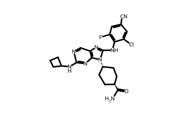 N#Cc1cc(F)c(Nc2nc3cnc(NC4CCC4)nc3n2[C@H]2CC[C@H](C(N)=O)CC2)c(Cl)c1